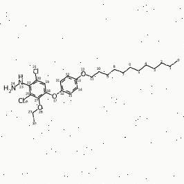 CCCCCCCCCCCCOc1ccc(Oc2cc(Cl)c(NN)c(Cl)c2OCC)cc1